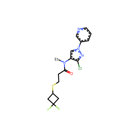 CCN(C(=O)CCSC1CC(F)(F)C1)c1cn(-c2cccnc2)nc1Cl